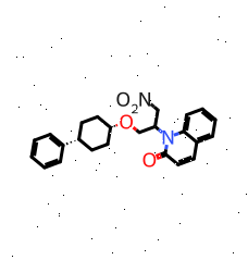 O=c1ccc2ccccc2n1C(CO[C@H]1CC[C@@H](c2ccccc2)CC1)C[N+](=O)[O-]